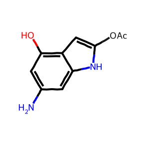 CC(=O)Oc1cc2c(O)cc(N)cc2[nH]1